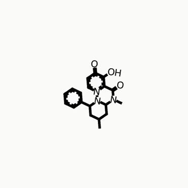 CC1CC(c2ccccc2)N2C(C1)N(C)C(=O)c1c(O)c(=O)ccn12